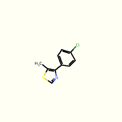 Cc1s[c]nc1-c1ccc(Cl)cc1